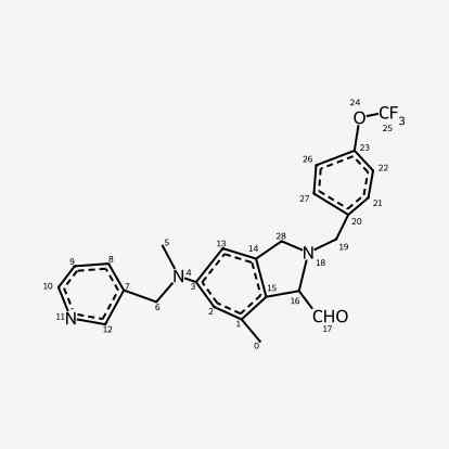 Cc1cc(N(C)Cc2cccnc2)cc2c1C(C=O)N(Cc1ccc(OC(F)(F)F)cc1)C2